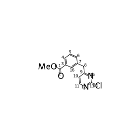 COC(=O)c1cccc(Cc2ccnc(Cl)n2)c1